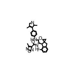 CC1=NCC(C)=C1c1ccc(NC(=O)[C@@H](NC(=O)c2nonc2C)C2c3c(F)cccc3CC23CC3)cc1